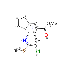 CCCSc1ncc(/C(=C\C2CCCC2)C(=O)OC)cc1Cl